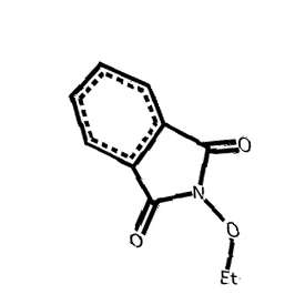 C[CH]ON1C(=O)c2ccccc2C1=O